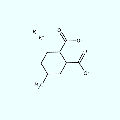 CC1CCC(C(=O)[O-])C(C(=O)[O-])C1.[K+].[K+]